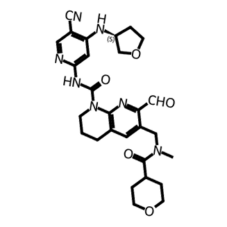 CN(Cc1cc2c(nc1C=O)N(C(=O)Nc1cc(N[C@H]3CCOC3)c(C#N)cn1)CCC2)C(=O)C1CCOCC1